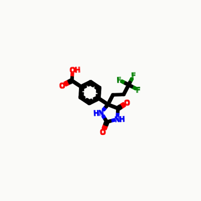 O=C1NC(=O)C(CCC(F)(F)F)(c2ccc(C(=O)O)cc2)N1